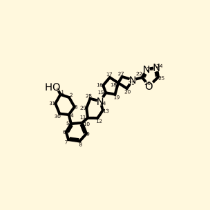 OC1CCC(c2ccccc2C2CCN(C3CCC4(C3)CN(c3nnco3)C4)CC2)CC1